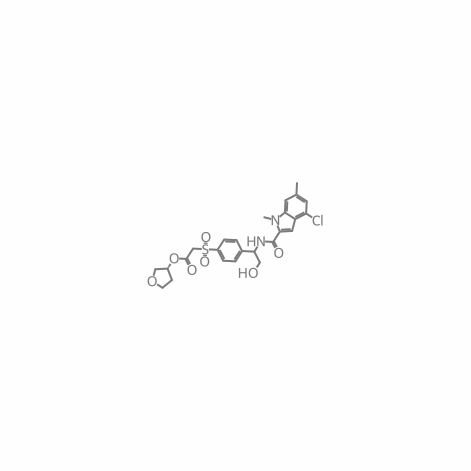 Cc1cc(Cl)c2cc(C(=O)NC(CO)c3ccc(S(=O)(=O)CC(=O)O[C@H]4CCOC4)cc3)n(C)c2c1